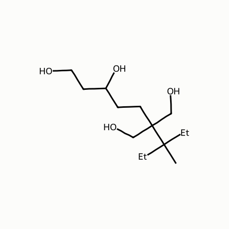 CCC(C)(CC)C(CO)(CO)CCC(O)CCO